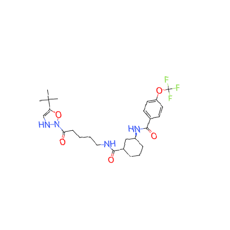 CC(C)(C)C1=CNN(C(=O)CCCCNC(=O)C2CCC[C@H](NC(=O)c3ccc(OC(F)(F)F)cc3)C2)O1